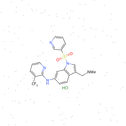 CNCc1cn(S(=O)(=O)c2cccnc2)c2cc(Nc3ncccc3C(F)(F)F)ccc12.Cl